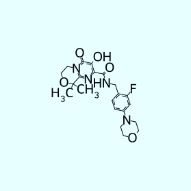 CC1(C)OCCn2c1nc(C(=O)NCc1ccc(N3CCOCC3)cc1F)c(O)c2=O